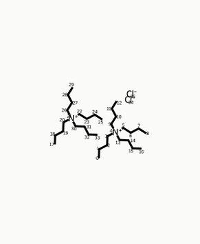 CCCC[N+](CCCC)(CCCC)CCCC.CCCC[N+](CCCC)(CCCC)CCCC.[Cl-].[Cl-]